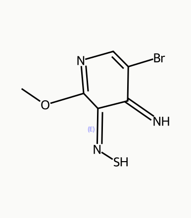 COC1=NC=C(Br)C(=N)/C1=N\S